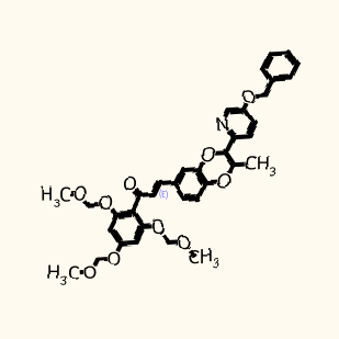 COCOc1cc(OCOC)c(C(=O)/C=C/c2ccc3c(c2)OC(c2ccc(OCc4ccccc4)cn2)C(C)O3)c(OCOC)c1